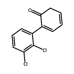 O=C1CC=CC=C1c1cc[c]c(Cl)c1Cl